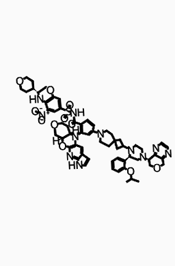 CC(C)Oc1ccccc1[C@@H]1CN([C@@H]2COCc3nccnc32)CCN1C1CC2(CCN(c3ccc(C(=O)NS(=O)(=O)c4cc5c(c([N+](=O)[O-])c4)N[C@H](C4CCOCC4)CO5)c(N4c5cc6cc[nH]c6nc5O[C@H]5COCC[C@@H]54)c3)CC2)C1